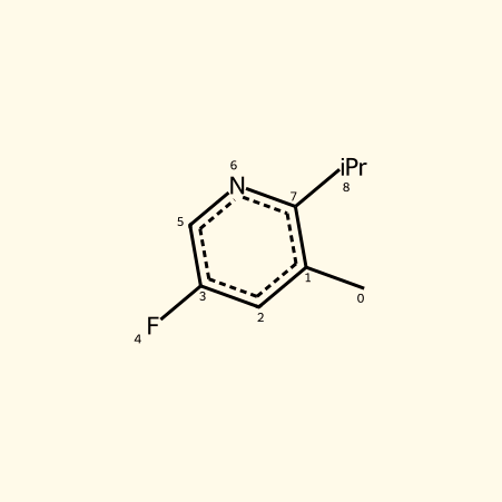 Cc1cc(F)cnc1C(C)C